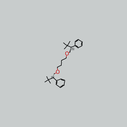 CC(C)(C)[C@H](COCCCCOC[C@H](c1ccccc1)C(C)(C)C)c1ccccc1